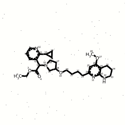 CCOC(=O)C(c1cccnc1C1CC1)N1CCC(OCCCCc2cc(OC)c3c(n2)NCCC3)C1